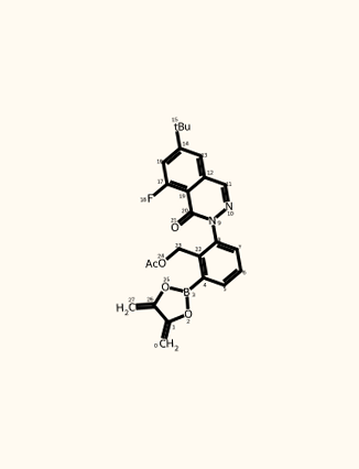 C=C1OB(c2cccc(-n3ncc4cc(C(C)(C)C)cc(F)c4c3=O)c2COC(C)=O)OC1=C